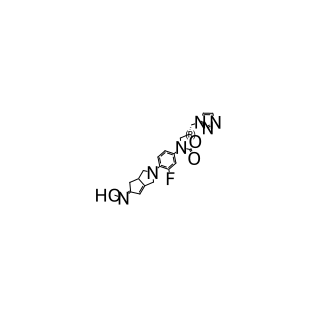 O=C1O[C@@H](Cn2ccnn2)CN1c1ccc(N2CC3=CC(=NO)CC3C2)c(F)c1